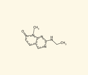 CCNc1ncc2ccc(=O)n(C)c2n1